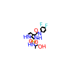 CC(CO)NS(=O)(=O)c1c2[nH]ccc2c(C(=O)Nc2ccc(F)c(F)c2)n1C